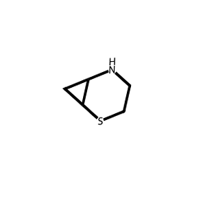 C1CSC2CC2N1